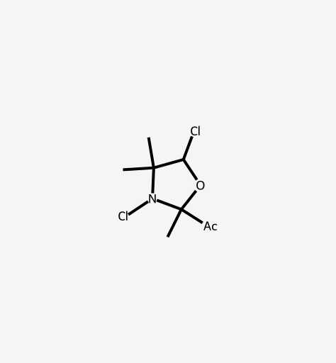 CC(=O)C1(C)OC(Cl)C(C)(C)N1Cl